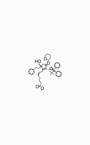 COC(=O)CCC/C=C\C[C@@H]1[C@@H](CO[Si](c2ccccc2)(c2ccccc2)C(C)(C)C)[C@H](OC2CCCCO2)C[C@@]1(CO)CCc1ccccc1